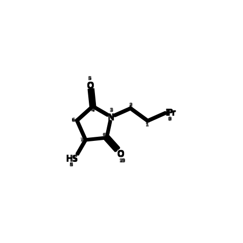 CC(C)CCN1C(=O)CC(S)C1=O